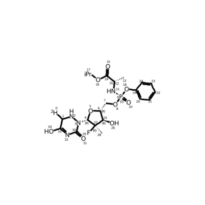 [2H]C1NN([C@@H]2O[C@H](CO[P@@](=O)(N[C@@H](C)C(=O)OC(C)C)Oc3ccccc3)[C@@H](O)[C@@]2(C)F)C(=O)N=C1O